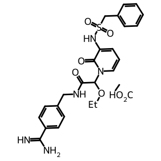 CC(=O)O.CCOC(C(=O)NCc1ccc(C(=N)N)cc1)n1cccc(NS(=O)(=O)Cc2ccccc2)c1=O